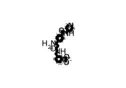 NC(CC(=O)NCc1cccc([N+](=O)[O-])c1)c1ccc(C(=O)Nc2ccncc2)cc1